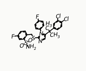 CC(C)(c1ccc(Cl)c(Cl)c1)c1cnc(SCc2ccc(F)cc2S(N)(=O)=O)n1-c1ccc(F)cc1